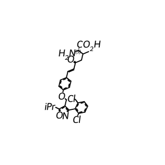 CC(C)c1onc(-c2c(Cl)cccc2Cl)c1COc1ccc(C=CC(=O)CC(C)[C@H](N)C(=O)O)cc1